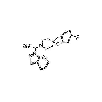 O=CC(N1CCC(O)(Cc2ccc(F)cc2)CC1)n1ncc2cccnc21